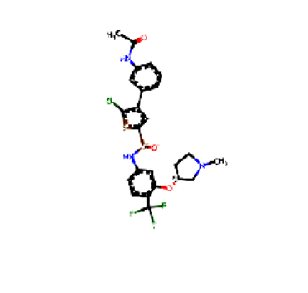 CC(=O)Nc1cccc(-c2cc([S+]([O-])Nc3ccc(C(F)(F)F)c(O[C@@H]4CCN(C)C4)c3)sc2Cl)c1